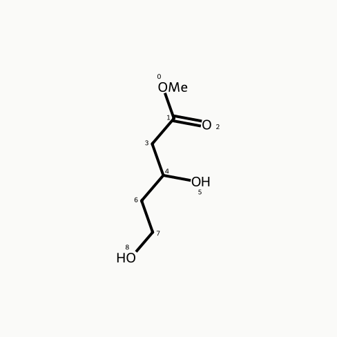 COC(=O)CC(O)CCO